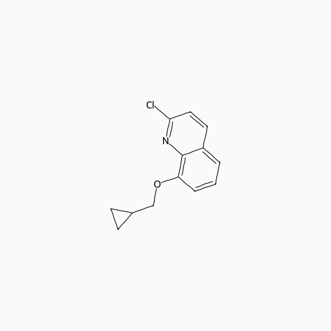 Clc1ccc2cccc(OCC3CC3)c2n1